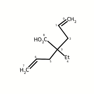 C=CCC(CC)(CC=C)C(=O)O